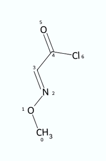 CON=CC(=O)Cl